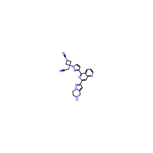 N#CC[C@]1(n2ccc(-c3nc(-c4cc5n(n4)CCNC5)cc4ncccc34)n2)C[C@H](C#N)C1